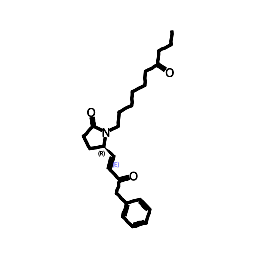 CCCC(=O)CCCCCCN1C(=O)CC[C@@H]1/C=C/C(=O)Cc1ccccc1